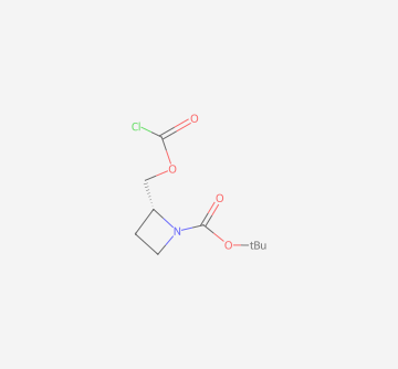 CC(C)(C)OC(=O)N1CC[C@@H]1COC(=O)Cl